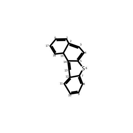 C1=CC2=CC=C3Sc4ccccc4C=C3C2C=C1